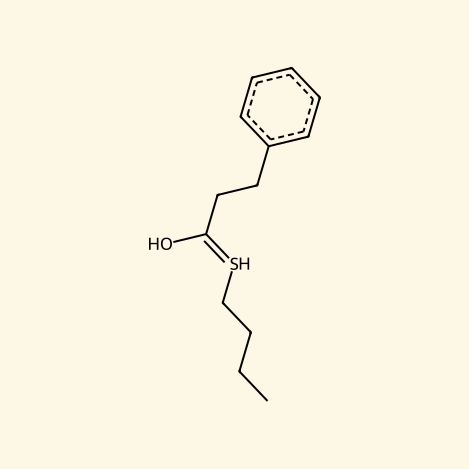 CCCC[SH]=C(O)CCc1ccccc1